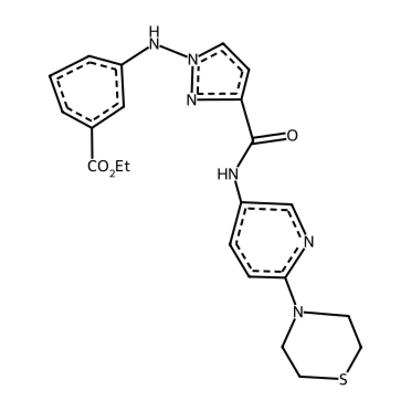 CCOC(=O)c1cccc(Nn2ccc(C(=O)Nc3ccc(N4CCSCC4)nc3)n2)c1